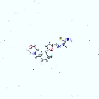 CN(N=Cc1ccc(-c2cc(CN3CCOCC3)ccc2F)o1)C(N)=S